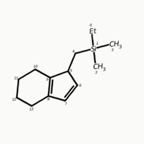 CC[Si](C)(C)CC1C=CC2=C1CCCC2